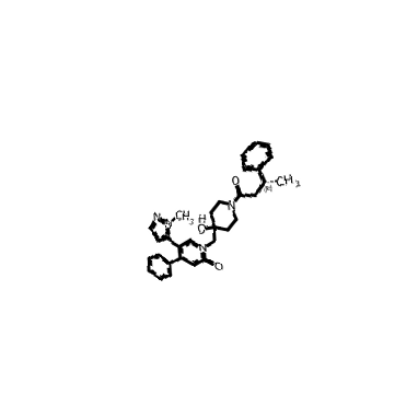 C[C@H](CC(=O)N1CCC(O)(Cn2cc(-c3ccnn3C)c(-c3ccccc3)cc2=O)CC1)c1ccccc1